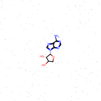 Nc1ncnc2c1ncn2[C@@H]1OCC(O)[C@@H]1O